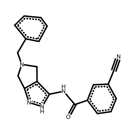 N#Cc1cccc(C(=O)Nc2[nH]nc3c2CN(Cc2ccccc2)C3)c1